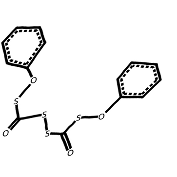 O=C(SOc1ccccc1)SSC(=O)SOc1ccccc1